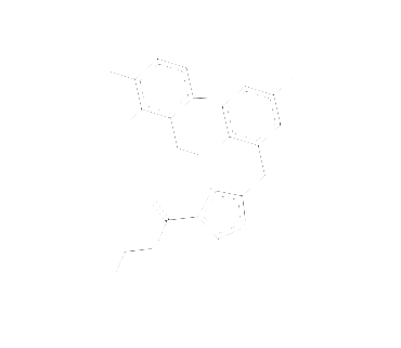 CCOC(=O)c1csc(Cc2cc(Br)ccc2OCc2c(F)ccc(F)c2F)n1